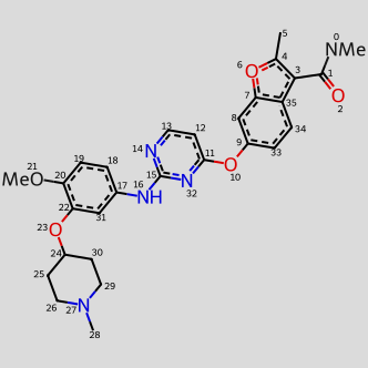 CNC(=O)c1c(C)oc2cc(Oc3ccnc(Nc4ccc(OC)c(OC5CCN(C)CC5)c4)n3)ccc12